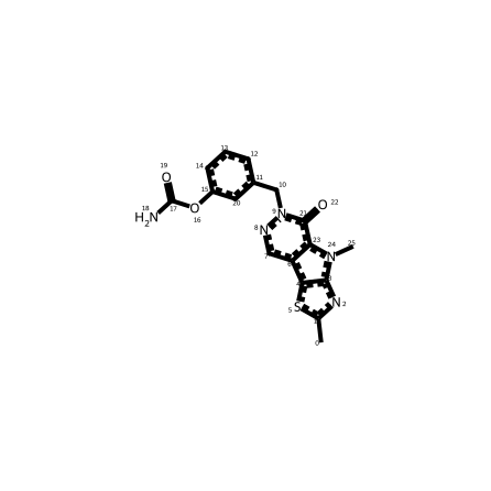 Cc1nc2c(s1)c1cnn(Cc3cccc(OC(N)=O)c3)c(=O)c1n2C